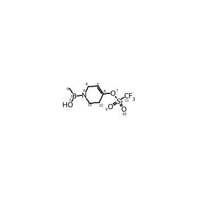 CB(O)N1CC=C(OS(=O)(=O)C(F)(F)F)CC1